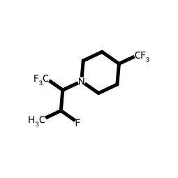 CC(F)C(N1CCC(C(F)(F)F)CC1)C(F)(F)F